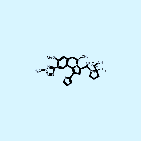 COc1cc2c(cc1-c1nnn(C)n1)-c1c(-c3cccs3)cc(C(=O)N3CCC[C@@]3(C)[C@@H](O)C(F)(F)F)n1[C@H](C)C2